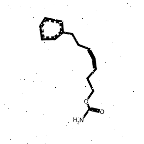 NC(=O)OCCC=C=CCCc1ccccc1